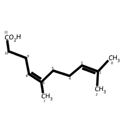 CC(C)=CCC/C(C)=C\CCC(=O)O